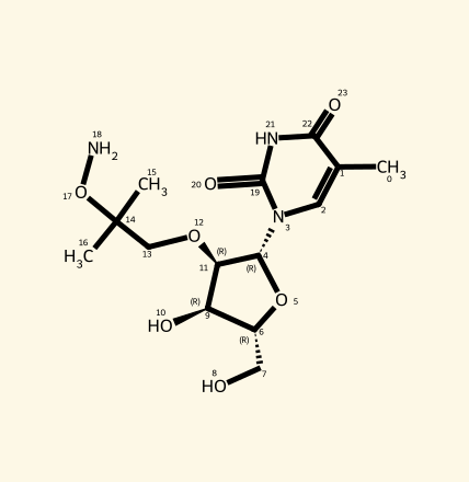 Cc1cn([C@@H]2O[C@H](CO)[C@@H](O)[C@H]2OCC(C)(C)ON)c(=O)[nH]c1=O